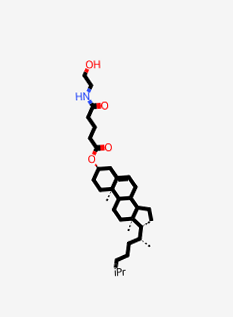 CC(C)CCC[C@@H](C)[C@H]1CCC2C3CC=C4C[C@@H](OC(=O)CCCC(=O)NCCO)CC[C@]4(C)C3CC[C@@]21C